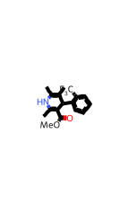 COC(=O)C1=C(C)NC(C)=C(C)C1c1ccccc1C(F)(F)F